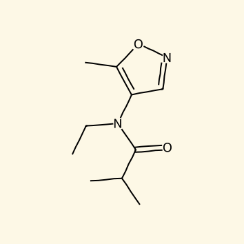 CCN(C(=O)C(C)C)c1cnoc1C